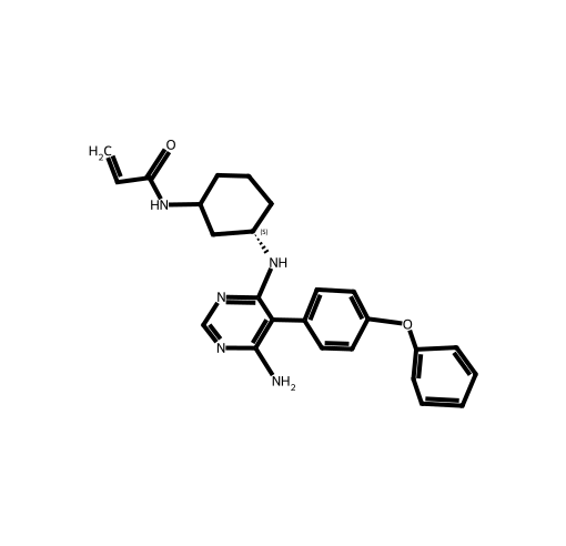 C=CC(=O)NC1CCC[C@H](Nc2ncnc(N)c2-c2ccc(Oc3ccccc3)cc2)C1